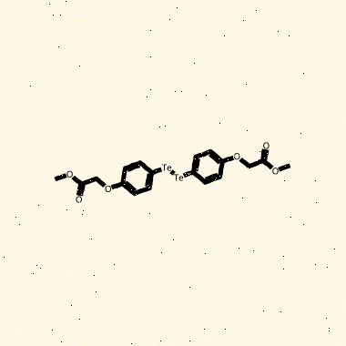 COC(=O)COc1ccc([Te][Te]c2ccc(OCC(=O)OC)cc2)cc1